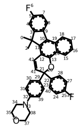 CC1(C)c2cc(F)ccc2-c2c1c1c(c3ccccc23)OC(c2ccc(F)cc2)(c2ccc(N3CCOCC3)cc2)C=C1